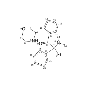 C1COCCN1.CCC(C(=O)c1ccccc1)(c1ccccc1)N(C)C